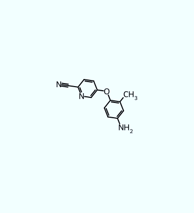 Cc1cc(N)ccc1Oc1ccc(C#N)nc1